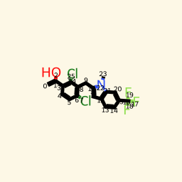 C=C(O)c1ccc(Cl)c(Cc2cc3ccc(C(F)(F)F)cc3n2C)c1Cl